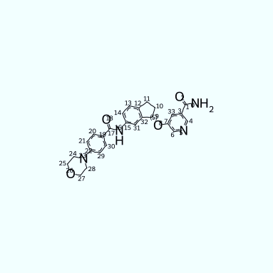 NC(=O)c1cncc(O[C@H]2CCc3ccc(NC(=O)c4ccc(N5CCOCC5)cc4)cc32)c1